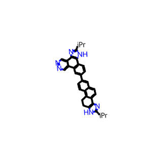 CC(C)c1nc2c([nH]1)CCc1c-2ccc2cc(-c3ccc4c(c3)c3cnncc3c3nc(C(C)C)[nH]c43)ccc12